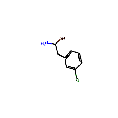 NC(S)Cc1cccc(Cl)c1